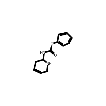 O=C(NC1CC=CCN1)Oc1ccccc1